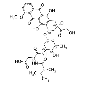 COc1cccc2c1C(=O)c1c(O)c3c(c(O)c1C2=O)C[C@@](O)(C(=O)CO)C[C@@H]3O[C@H]1C[C@H](NC(=O)[C@H](CC(=O)O)NC(=O)[C@@H](C)C(C)C)[C@H](O)[C@H](C)O1